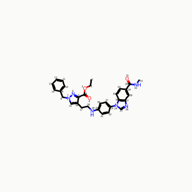 CCOC(=O)c1nn(Cc2ccccc2)cc1CCNc1ccc(-n2cnc3cc(C(=O)NC)ccc32)cc1